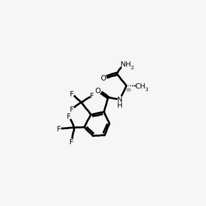 C[C@H](NC(=O)c1cccc(C(F)(F)F)c1C(F)(F)F)C(N)=O